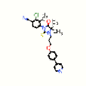 Cc1c(N2C(=O)C(C)(C)N(CCCOc3ccc(-c4ccncc4)cc3)C2=S)ccc(C#N)c1Cl